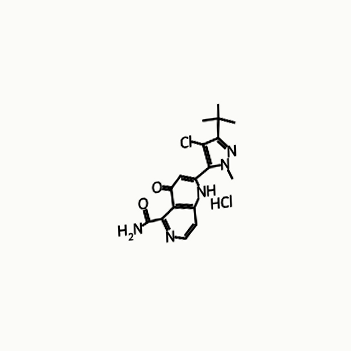 Cl.Cn1nc(C(C)(C)C)c(Cl)c1-c1cc(=O)c2c(C(N)=O)nccc2[nH]1